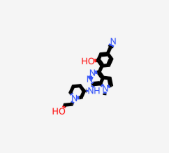 Cn1ccc2c(-c3ccc(C#N)cc3O)nnc(N[C@@H]3CCCN(CCO)C3)c21